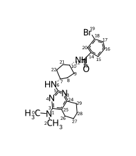 CN(C)c1nc(N[C@H]2CC[C@@H](NC(=O)c3cccc(Br)c3)CC2)nc2c1CCCC2